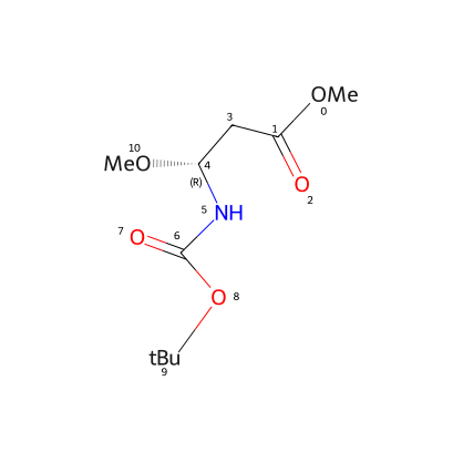 COC(=O)C[C@H](NC(=O)OC(C)(C)C)OC